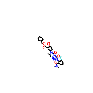 COc1ccc(N(C(=O)n2nnn(-c3c(F)cccc3C(=O)N(C)C)c2=O)C(C)C)cc1C(=O)OCc1ccccc1